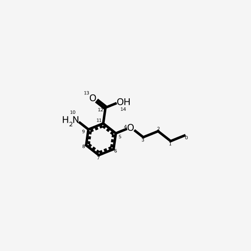 CCCCOc1cccc(N)c1C(=O)O